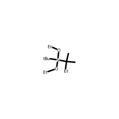 CCO[Si](OCC)(C(C)(C)C)C(C)(C)CC